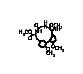 CN[C@@H]1C(=O)NCC(=O)N[C@H](C(=O)OC)Cc2ccc(OC)c(c2)-c2cc1ccc2OC